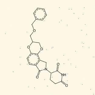 O=C1CCC(N2Cc3c(ccc4c3OCC(COCc3ccccc3)O4)C2=O)C(=O)N1